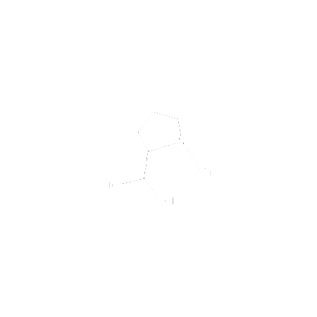 CC(C)N1CCCC1C(O)O